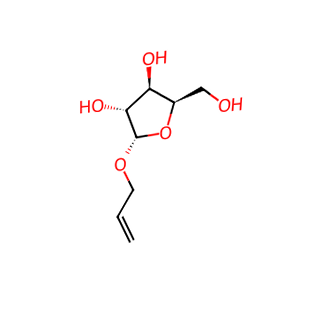 C=CCO[C@H]1O[C@H](CO)[C@H](O)[C@H]1O